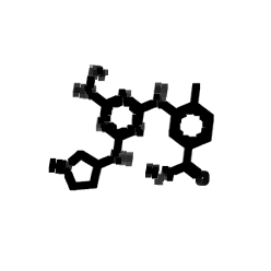 Cc1ccc(C(N)=O)cc1Nc1nc(NC(C)C)nc(NC2CCNC2)n1